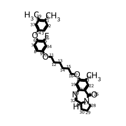 Cc1ccc(Oc2ccc(OCCCCCCOc3cc4c(cc3C)C(=O)N3CCC[C@H]3C=N4)cc2F)cc1C